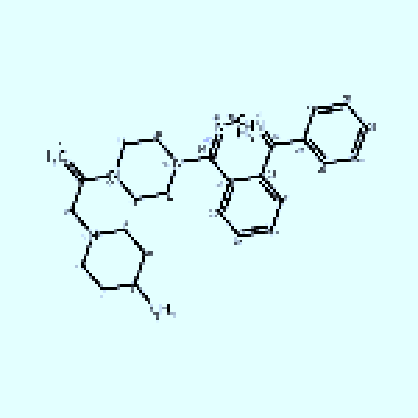 C=C(CN1CCC(C)CC1)N1CCN(/C(=N/C)c2ccccc2C(=N)c2ccccc2)CC1